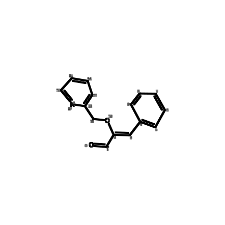 O=[C]C(=Cc1ccccc1)OCc1ccccn1